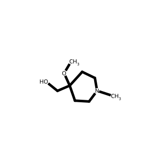 COC1(CO)CCN(C)CC1